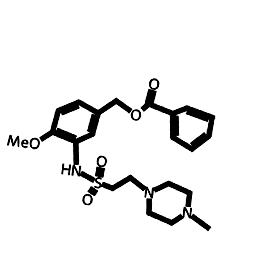 COc1ccc(COC(=O)c2ccccc2)cc1NS(=O)(=O)CCN1CCN(C)CC1